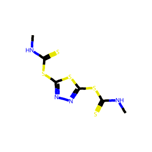 CNC(=S)Sc1nnc(SC(=S)NC)s1